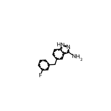 Nc1n[nH]c2ccc(Cc3cccc(F)c3)cc12